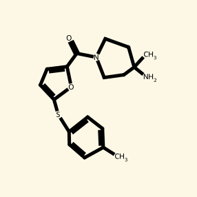 Cc1ccc(Sc2ccc(C(=O)N3CCC(C)(N)CC3)o2)cc1